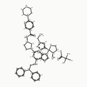 CCn1nnc([C@@]2(n3cnc4c(NCC(c5ccccc5)c5ccccc5)nc(N5CC[C@@H](NC(=O)c6ccc(N7CCOCC7)nc6)C5)nc43)OC[C@H](OC(=O)C(F)(F)F)[C@H]2O)n1